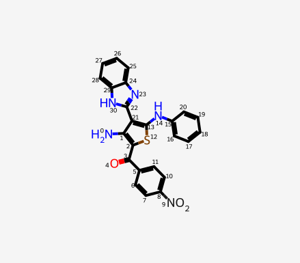 Nc1c(C(=O)c2ccc([N+](=O)[O-])cc2)sc(Nc2ccccc2)c1-c1nc2ccccc2[nH]1